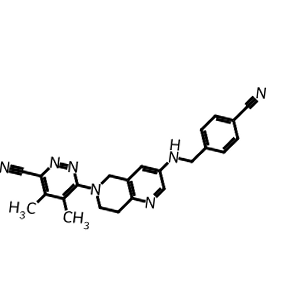 Cc1c(C#N)nnc(N2CCc3ncc(NCc4ccc(C#N)cc4)cc3C2)c1C